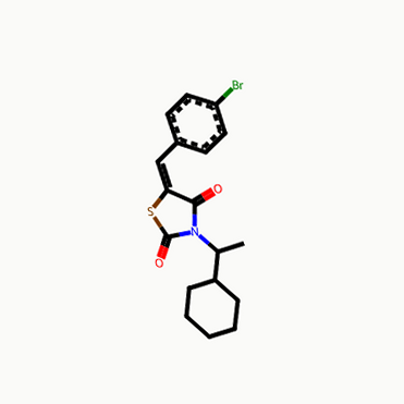 CC(C1CCCCC1)N1C(=O)SC(=Cc2ccc(Br)cc2)C1=O